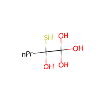 CCCC(O)(S)C(O)(O)O